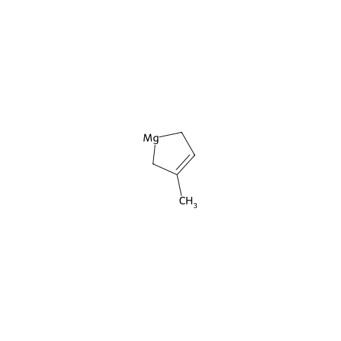 CC1=C[CH2][Mg][CH2]1